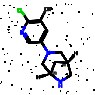 N#Cc1cc(N2C[C@@H]3CN[C@@H](C3)C2)cnc1Cl